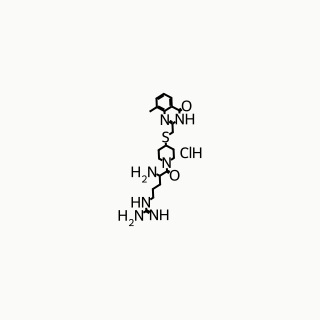 Cc1cccc2c(=O)[nH]c(CSC3CCN(C(=O)C(N)CCCNC(=N)N)CC3)nc12.Cl